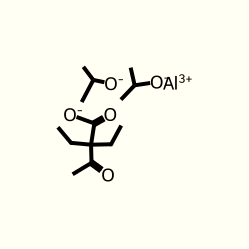 CC(C)[O-].CC(C)[O-].CCC(CC)(C(C)=O)C(=O)[O-].[Al+3]